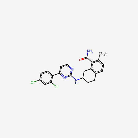 NC(=O)c1c(C(=O)O)ccc2c1CC(Nc1nccc(-c3ccc(Cl)cc3Cl)n1)CC2